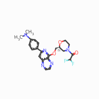 CN(C)c1ccc(-c2cc3nccnc3c(OC[C@@H]3CN(C(=O)C(F)F)CCO3)n2)cc1